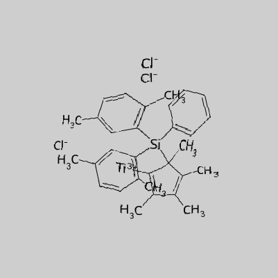 CC1=C(C)C(C)([Si](c2ccccc2)(c2cc(C)ccc2C)c2cc(C)ccc2C)[C]([Ti+3])=C1C.[Cl-].[Cl-].[Cl-]